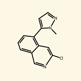 Cn1nccc1-c1cccc2cnc(Cl)cc12